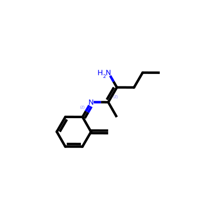 C=C1C=CC=C/C1=N/C(C)=C(\N)CCC